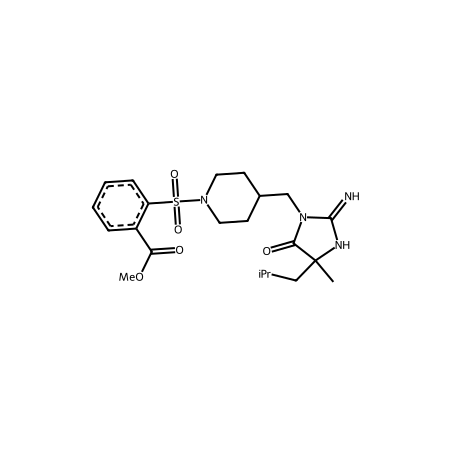 COC(=O)c1ccccc1S(=O)(=O)N1CCC(CN2C(=N)NC(C)(CC(C)C)C2=O)CC1